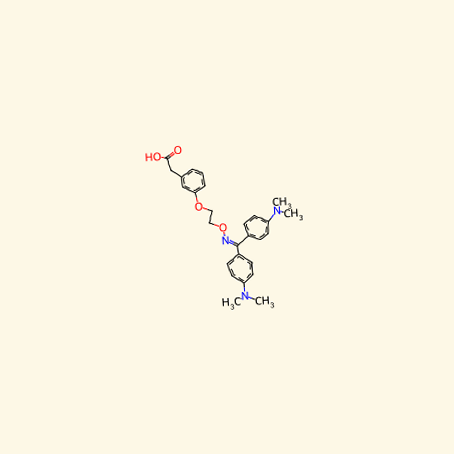 CN(C)c1ccc(C(=NOCCOc2cccc(CC(=O)O)c2)c2ccc(N(C)C)cc2)cc1